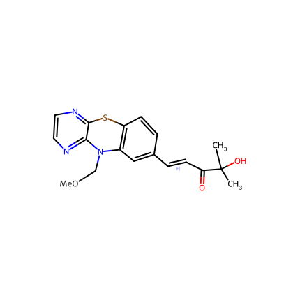 COCN1c2cc(/C=C/C(=O)C(C)(C)O)ccc2Sc2nccnc21